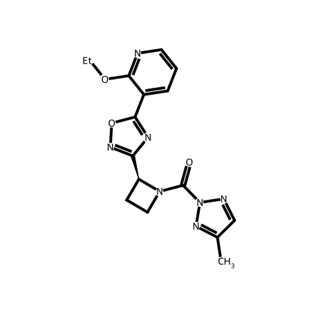 CCOc1ncccc1-c1nc([C@@H]2CCN2C(=O)n2ncc(C)n2)no1